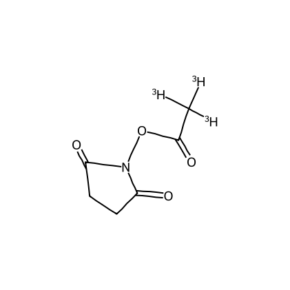 [3H]C([3H])([3H])C(=O)ON1C(=O)CCC1=O